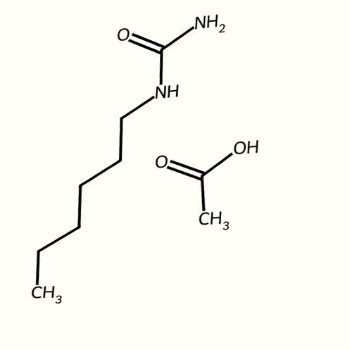 CC(=O)O.CCCCCCNC(N)=O